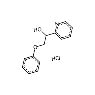 Cl.OC(COc1ccccc1)c1ccccn1